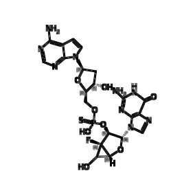 Nc1nc2c(ncn2[C@@H]2O[C@@H]3C(O)[C@]3(F)[C@H]2OP(O)(=S)OC[C@H]2O[C@@H](n3ccc4c(N)ncnc43)C[C@@H]2O)c(=O)[nH]1